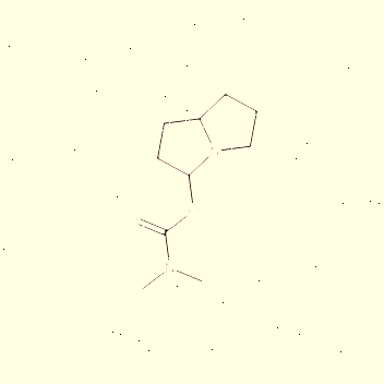 CN(C)C(=O)OC1CCC2CCCN21